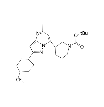 Cc1cc(C2CCCN(C(=O)OC(C)(C)C)C2)n2nc(C3CCC(C(F)(F)F)CC3)cc2n1